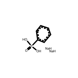 O=P(O)(O)c1cc[c]cc1.[NaH].[NaH]